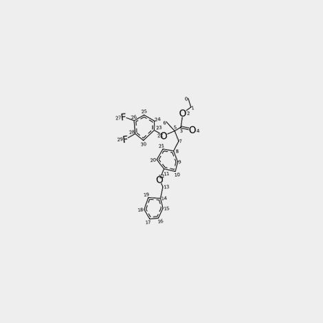 CCOC(=O)C(C)(Cc1ccc(OCc2ccccc2)cc1)Oc1ccc(F)c(F)c1